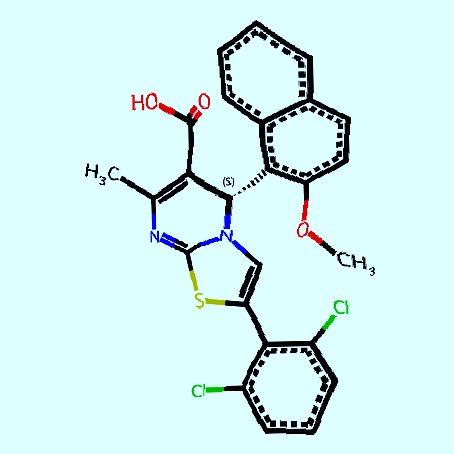 COc1ccc2ccccc2c1[C@H]1C(C(=O)O)=C(C)N=C2SC(c3c(Cl)cccc3Cl)=CN21